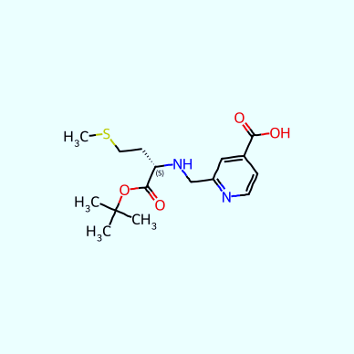 CSCC[C@H](NCc1cc(C(=O)O)ccn1)C(=O)OC(C)(C)C